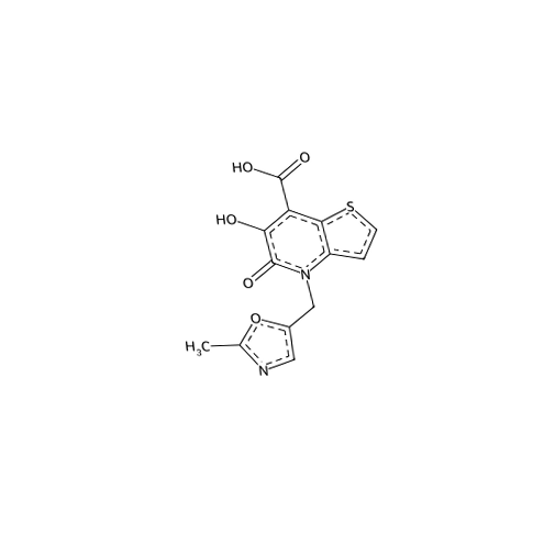 Cc1ncc(Cn2c(=O)c(O)c(C(=O)O)c3sccc32)o1